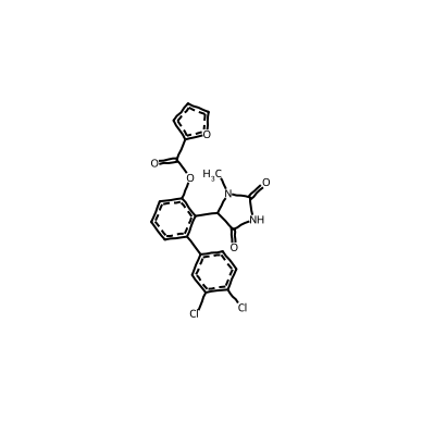 CN1C(=O)NC(=O)C1c1c(OC(=O)c2ccco2)cccc1-c1ccc(Cl)c(Cl)c1